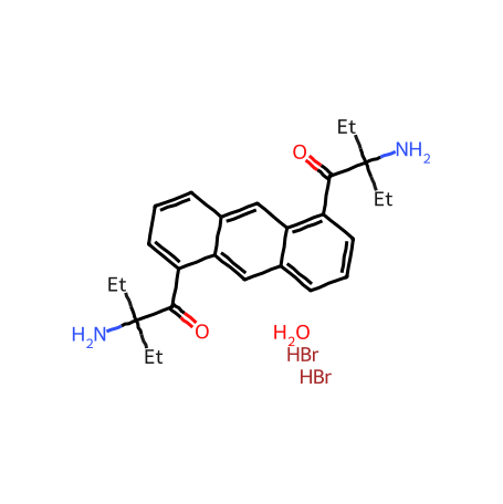 Br.Br.CCC(N)(CC)C(=O)c1cccc2cc3c(C(=O)C(N)(CC)CC)cccc3cc12.O